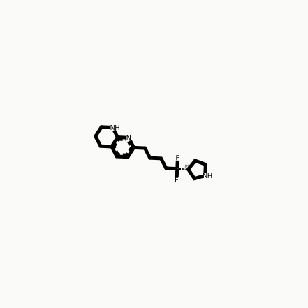 FC(F)(CCCCc1ccc2c(n1)NCCC2)[C@@H]1CCNC1